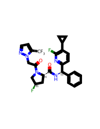 O=C(N[C@@H](c1ccccc1)c1ccc(C2CC2)c(F)n1)[C@@H]1C[C@@H](F)CN1C(=O)Cn1nccc1C(F)(F)F